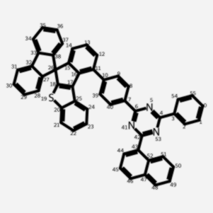 c1ccc(-c2nc(-c3ccc(-c4cccc5c4-c4c(sc6ccccc46)C54c5ccccc5-c5ccccc54)cc3)nc(-c3cccc4ccccc34)n2)cc1